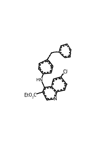 CCOC(=O)c1cnc2ccc(Cl)cc2c1Nc1ccc(Cc2ccccc2)cc1